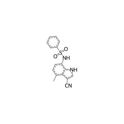 Cc1ccc(NS(=O)(=O)c2ccccc2)c2[nH]cc(C#N)c12